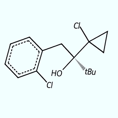 CC(C)(C)[C@](O)(Cc1ccccc1Cl)C1(Cl)CC1